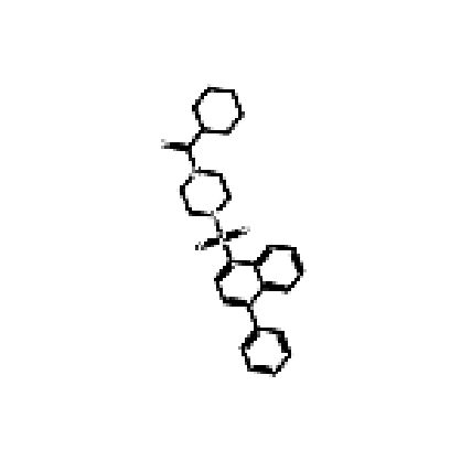 O=C(C1CCCCC1)N1CCN(S(=O)(=O)c2ccc(-c3ccccc3)c3ccccc23)CC1